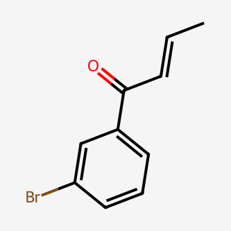 CC=CC(=O)c1cccc(Br)c1